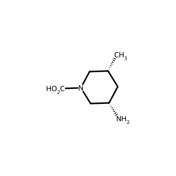 C[C@@H]1C[C@H](N)CN(C(=O)O)C1